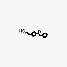 O=C(O)/C=C/c1ccc(C(=O)Cc2ccccc2)cc1